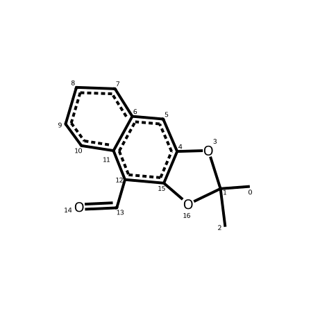 CC1(C)Oc2cc3ccccc3c(C=O)c2O1